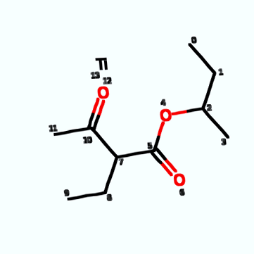 CCC(C)OC(=O)C(CC)C(C)=O.[Ti]